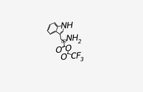 N[C@@H](Cc1c[nH]c2ccccc12)C(=O)OC(=O)C(F)(F)F